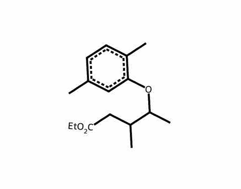 CCOC(=O)CC(C)C(C)Oc1cc(C)ccc1C